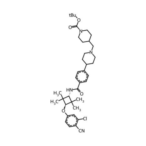 CC(C)(C)OC(=O)N1CCC(CN2CCC(c3ccc(C(=O)N[C@H]4C(C)(C)[C@H](Oc5ccc(C#N)c(Cl)c5)C4(C)C)cc3)CC2)CC1